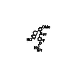 CCCNCCOc1ccc(CN(c2cc(OC)ccc2C2CCc3cc(O)ccc3C2)C(C)C)cc1F